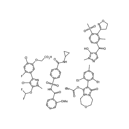 CCc1cc(C)cc(CC)c1-c1c(OC(=O)C(C)(C)C)n2n(c1=O)CCOCC2.COc1ccccc1C(=O)NS(=O)(=O)c1ccc(C(=O)NC2CC2)cc1.Cc1c(C(=O)c2cnn(C)c2O)ccc(S(C)(=O)=O)c1C1=NOCC1.Cn1nc(-c2cc(OCC(=O)O)c(Cl)cc2F)c(Cl)c1OC(F)F